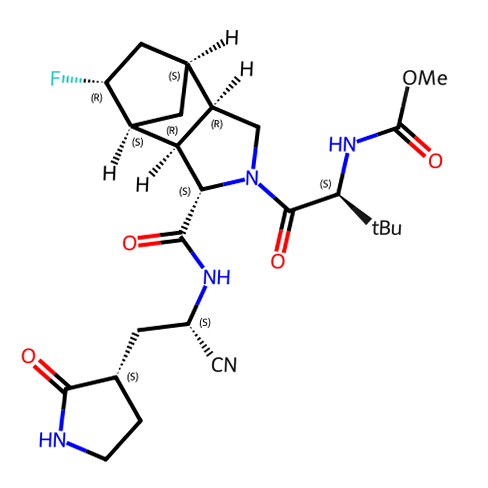 COC(=O)N[C@H](C(=O)N1C[C@@H]2[C@H]3C[C@@H]([C@@H]2[C@H]1C(=O)N[C@H](C#N)C[C@@H]1CCNC1=O)[C@H](F)C3)C(C)(C)C